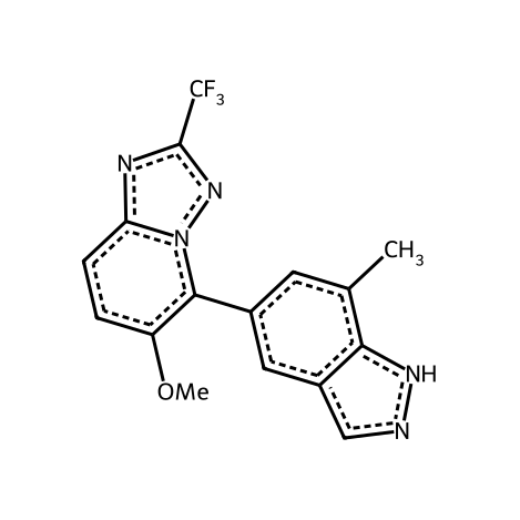 COc1ccc2nc(C(F)(F)F)nn2c1-c1cc(C)c2[nH]ncc2c1